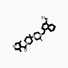 CCOc1ccc(CN2CCN(C3(C)CCN(C(=O)c4c(C)cncc4C)CC3)C[C@@H]2C)c2ccccc12